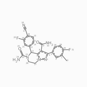 Cc1cc(-c2nn3c(c2C(N)=O)C(c2ccc(C#N)c(F)c2)N(C(N)=O)CC3)ccc1F